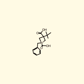 CC(C)(C)C1(C(=O)O)C[N+](Cc2ccccc2)(C(=O)O)C1